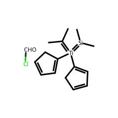 C[C](C)=[Ti]([C]1=CC=CC1)([C]1=CC=CC1)=[Si](C)C.O=CCl